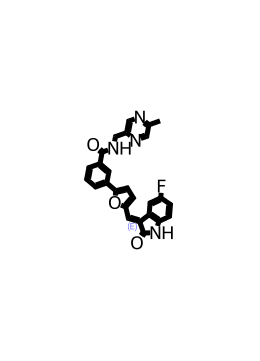 Cc1cnc(CNC(=O)c2cccc(-c3ccc(/C=C4/C(=O)Nc5ccc(F)cc54)o3)c2)cn1